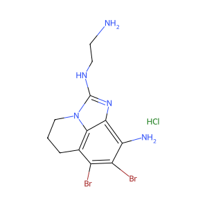 Cl.NCCNc1nc2c(N)c(Br)c(Br)c3c2n1CCC3